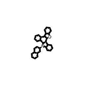 c1ccc2cc(-n3c4ccccc4c4c5oc6ccccc6c5c5ccccc5c43)ccc2c1